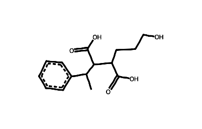 CC(c1ccccc1)C(C(=O)O)C(CCCO)C(=O)O